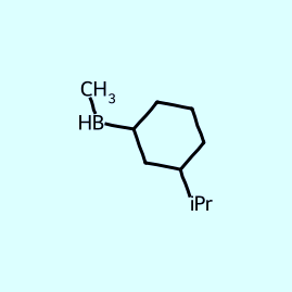 CBC1CCCC(C(C)C)C1